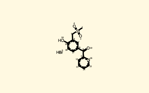 Br.CS(=O)(=O)Cc1cc(C(=O)c2ccccn2)ccc1O